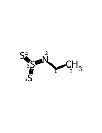 CCN=S(=S)=S